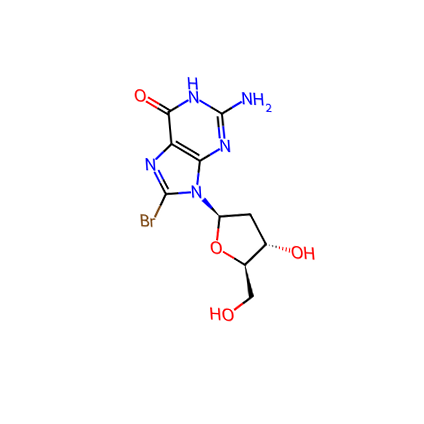 Nc1nc2c(nc(Br)n2[C@H]2C[C@H](O)[C@@H](CO)O2)c(=O)[nH]1